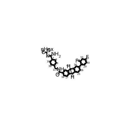 CCCCCCOC(=O)N=C(N)c1ccc(CNC(=O)c2ccc3c(c2)[C@@H]2O[C@H]3c3ccc(-c4ccc(F)cc4F)cc32)cc1